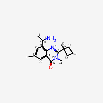 Cc1cc([C@@H](C)N)c2nc(C3(C)CCC3)n(C)c(=O)c2c1